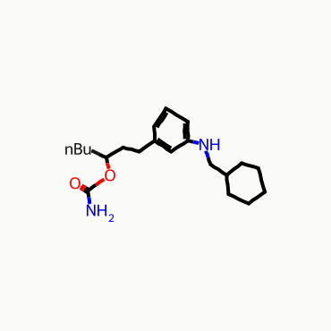 CCCCC(CCc1cccc(NCC2CCCCC2)c1)OC(N)=O